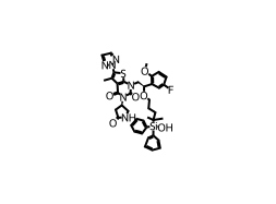 COc1ccc(F)cc1[C@H](Cn1c(=O)n([C@H]2CNC(=O)C2)c(=O)c2c(C)c(-n3nccn3)sc21)OCCCC(C)(C)[Si](O)(c1ccccc1)c1ccccc1